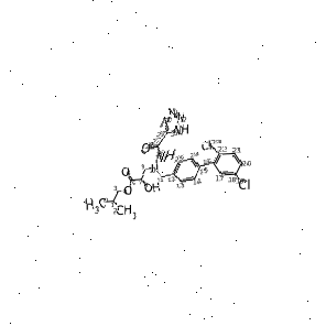 CC(C)COC(=O)[C@H](O)CN(Cc1ccc(-c2cc(Cl)ccc2Cl)cc1)NC(=O)c1nnn[nH]1